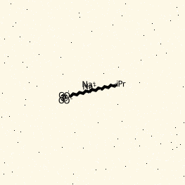 CC(C)CCCCCCCCCCCCCCCOP(=O)([O-])[O-].[Na+].[Na+]